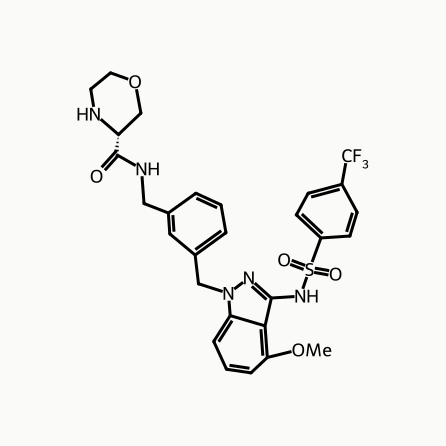 COc1cccc2c1c(NS(=O)(=O)c1ccc(C(F)(F)F)cc1)nn2Cc1cccc(CNC(=O)[C@H]2COCCN2)c1